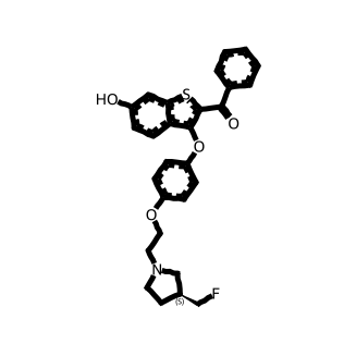 O=C(c1ccccc1)c1sc2cc(O)ccc2c1Oc1ccc(OCCN2CC[C@H](CF)C2)cc1